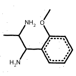 COc1ccccc1C(N)C(C)N